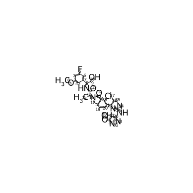 COc1cc(F)cc([C@@H](CO)NC(=O)[C@@H](C)N2Cc3ccc(-c4nc(Nc5cc(OC)ncn5)ncc4Cl)cc3C2=O)c1